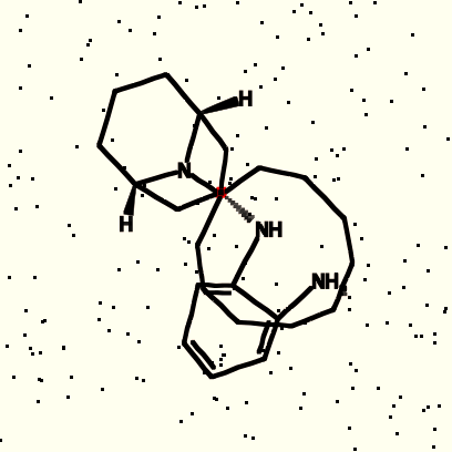 Nc1ccccc1N[C@H]1C[C@H]2CCC[C@@H](C1)N2C1CCCCCCCCC1